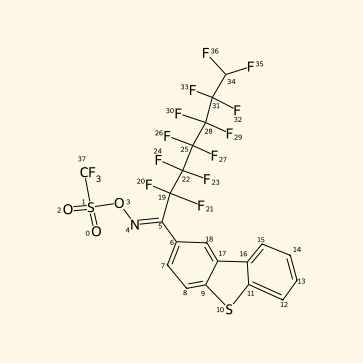 O=S(=O)(ON=C(c1ccc2sc3ccccc3c2c1)C(F)(F)C(F)(F)C(F)(F)C(F)(F)C(F)(F)C(F)F)C(F)(F)F